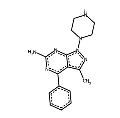 Cc1nn(N2CCNCC2)c2nc(N)nc(-c3ccccc3)c12